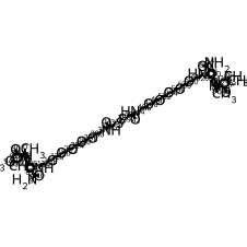 Cc1nn(-c2ccc(C(N)=O)c(NCCCOCCOCCOCCOCCOCCCNC(=O)CCSSCCC(=O)NCCCOCCOCCOCCOCCOCCCNc3cc(-n4nc(C)c5c4CC(C)(C)CC5=O)ccc3C(N)=O)c2)c2c1C(=O)CC(C)(C)C2